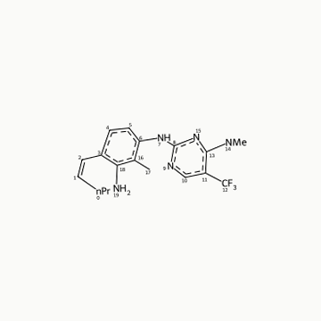 CCC/C=C\c1ccc(Nc2ncc(C(F)(F)F)c(NC)n2)c(C)c1N